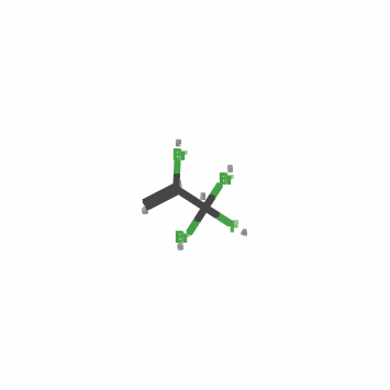 C=C(Br)C(F)(Br)Br